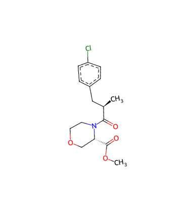 COC(=O)[C@@H]1COCCN1C(=O)[C@H](C)Cc1ccc(Cl)cc1